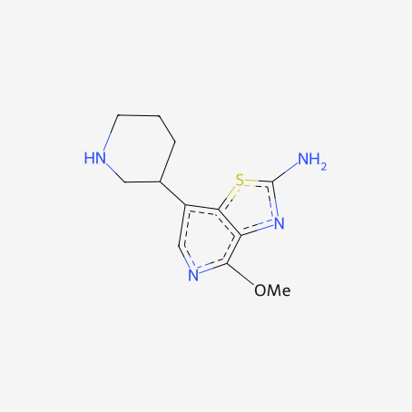 COc1ncc(C2CCCNC2)c2sc(N)nc12